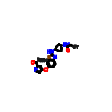 CNC(=O)c1cc(Oc2ccc3nc(N[C@H]4CC[C@@H](NC(=O)CC(C)C)CC4)sc3c2)ccn1